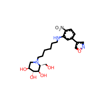 O=[N+]([O-])c1ccc(-c2cnoc2)cc1NCCCCCCN1C[C@H](O)[C@@H](O)[C@H](O)[C@H]1CO